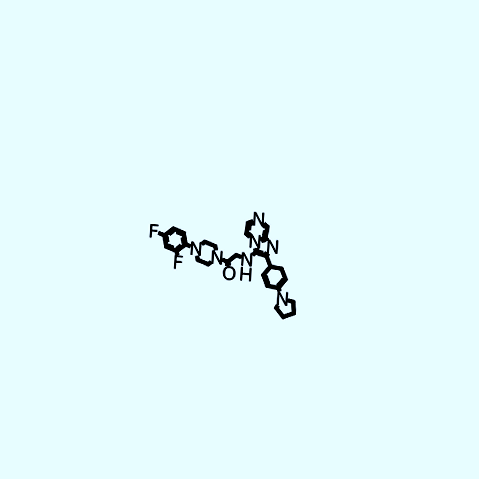 O=C(CNc1c(C2C=CC(N3CCCC3)=CC2)nc2cnccn12)N1CCN(c2ccc(F)cc2F)CC1